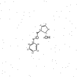 O[C@H]1CC=C[C@@H]1COCc1ccccc1